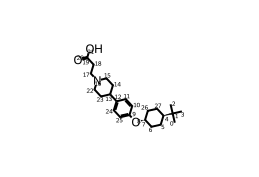 CC(C)(C)[C@H]1CC[C@H](Oc2ccc(C3CCN(CCC(=O)O)CC3)cc2)CC1